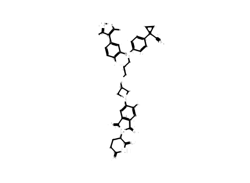 Cc1ccc(-c2c(C)noc2C)cc1N(CCCOC1CN(c2cc3c(cc2F)C(=O)N(C2CCC(=O)NC2=O)C3=O)C1)c1ccc(C2(C#N)CC2)cc1